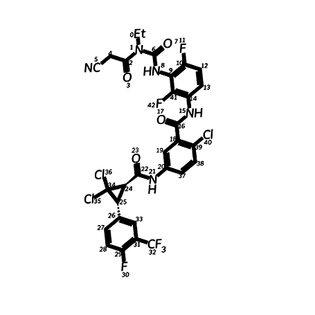 CCN(C(=O)CC#N)C(=O)Nc1c(F)ccc(NC(=O)c2cc(NC(=O)[C@H]3[C@H](c4ccc(F)c(C(F)(F)F)c4)C3(Cl)Cl)ccc2Cl)c1F